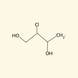 [CH2]C(O)C(Cl)CO